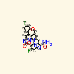 CC(=C1c2ccc(Cc3c(C(N)=O)nc4cc(F)ccn34)cc2COc2cc(F)ccc21)c1nc(=O)o[nH]1